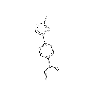 C=CC(=O)c1ccc(-c2ccc(C)o2)cc1